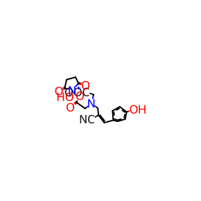 N#CC(=Cc1ccc(O)cc1)CN(CC(=O)[O-])CC(=O)O[N+]1(O)C(=O)CCC1=O